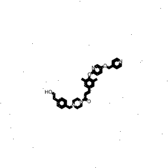 Cc1cc(C=CC(=O)N2CCN(Cc3ccc(CCO)cc3)CC2)cc(C)c1Oc1ccc(OCc2ccncc2)cn1